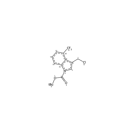 CC(C)(C)OC(=O)n1cc(CCl)c2c(C(F)(F)F)cccc21